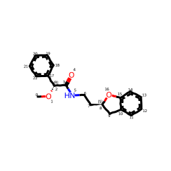 CO[C@@H](C(=O)NCC[C@@H]1Cc2ccccc2O1)c1ccccc1